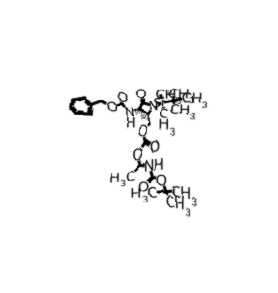 CC(NC(=O)OC(C)(C)C)OC(=O)OC[C@H]1[C@@H](NC(=O)OCc2ccccc2)C(=O)N1[Si](C)(C)C(C)(C)C